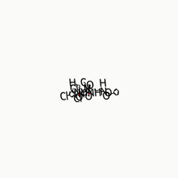 CCCN1C(=O)[C@H](CCCCNC(=O)OCc2ccccc2)NC(=O)C12CCN(C(=O)Nc1c(Cl)cc(Cl)cc1Cl)CC2